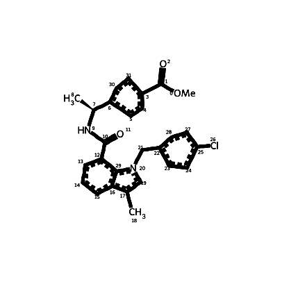 COC(=O)c1ccc([C@H](C)NC(=O)c2cccc3c(C)cn(Cc4ccc(Cl)cc4)c23)cc1